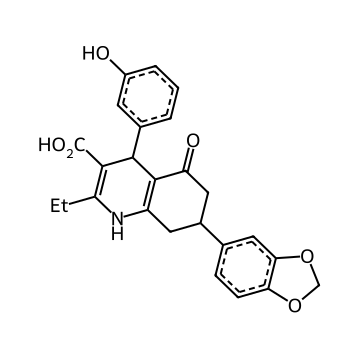 CCC1=C(C(=O)O)C(c2cccc(O)c2)C2=C(CC(c3ccc4c(c3)OCO4)CC2=O)N1